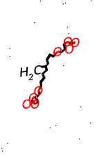 C=CC(C/C=C\COCC1COC(=O)O1)CC/C=C/COCC1COC(=O)O1